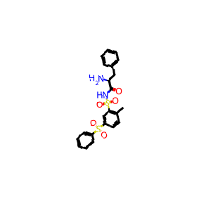 Cc1ccc(S(=O)(=O)c2ccccc2)cc1S(=O)(=O)NC(=O)[C@@H](N)Cc1ccccc1